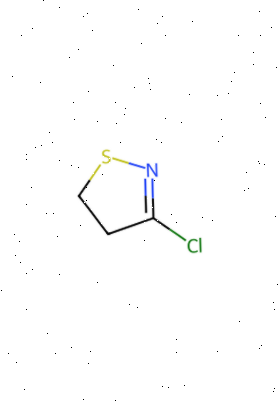 ClC1=NSCC1